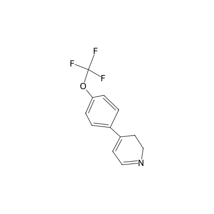 FC(F)(F)Oc1ccc(C2=CC=NCC2)cc1